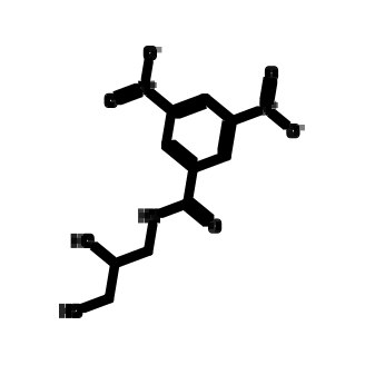 O=C(NCC(O)CO)c1cc([N+](=O)[O-])cc([N+](=O)[O-])c1